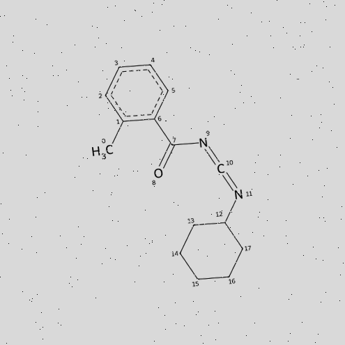 Cc1ccccc1C(=O)N=C=NC1CCCCC1